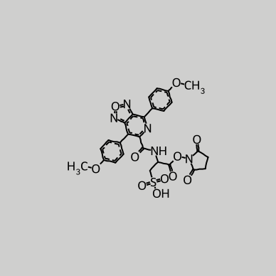 COc1ccc(-c2nc(C(=O)NC(CS(=O)(=O)O)C(=O)ON3C(=O)CCC3=O)c(-c3ccc(OC)cc3)c3nonc23)cc1